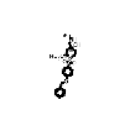 CCCCNC[C@]1(O)CCN(S(=O)(=O)c2ccc(OCc3ccccc3)cc2)[C@@H](C(=O)O)C1